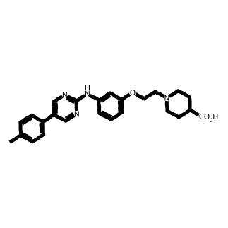 Cc1ccc(-c2cnc(Nc3cccc(OCCN4CCC(C(=O)O)CC4)c3)nc2)cc1